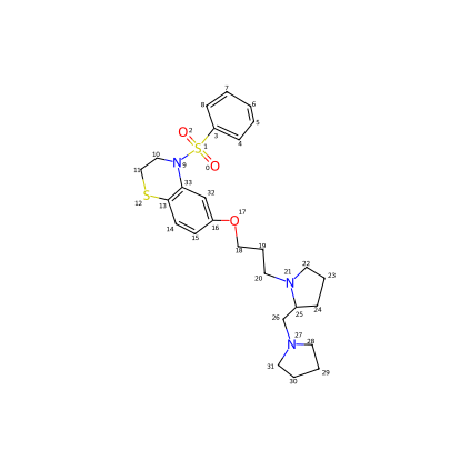 O=S(=O)(c1ccccc1)N1CCSc2ccc(OCCCN3CCCC3CN3CCCC3)cc21